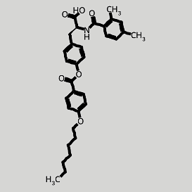 CCCCCCCOc1ccc(C(=O)Oc2ccc(C[C@H](NC(=O)c3ccc(C)cc3C)C(=O)O)cc2)cc1